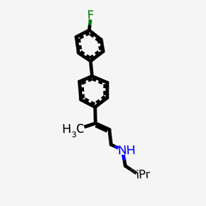 CC(=CCNCC(C)C)c1ccc(-c2ccc(F)cc2)cc1